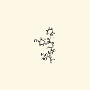 C[C@](O)(CNC(=O)c1cnc(CCc2cccnc2)c(-c2ccc(Cl)cc2)c1)C1CC1